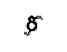 CC1=CC=C2/C=C\C(C)/C=C\C=C\12